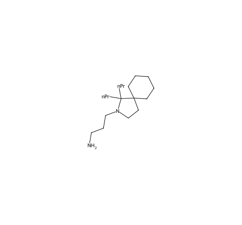 CCCC1(CCC)N(CCCN)CCC12CCCCC2